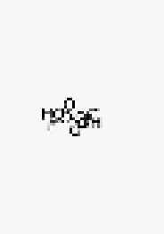 CCC(F)CC(CCF)(C(=O)O)C(=O)O